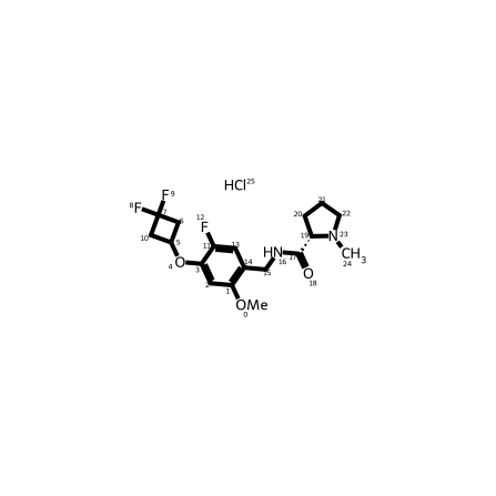 COc1cc(OC2CC(F)(F)C2)c(F)cc1CNC(=O)[C@@H]1CCCN1C.Cl